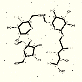 O=C[C@H](O)[C@@H](O)[C@H](O)[C@H](O)CO[C@H]1O[C@H](CO)[C@@H](O)[C@H](O)[C@H]1O.OC[C@H]1O[C@@](CO)(O[C@H]2O[C@H](CO)[C@@H](O)[C@H](O)[C@H]2O)[C@@H](O)[C@@H]1O